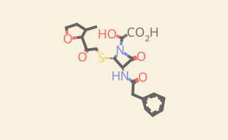 CC1CCOC1C(=O)CS[C@@H]1[C@H](NC(=O)Cc2ccccc2)C(=O)N1C(O)C(=O)O